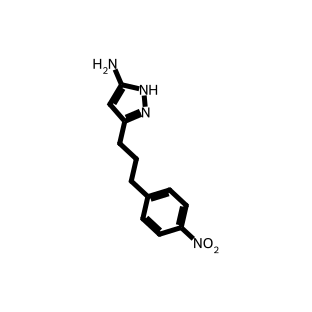 Nc1cc(CCCc2ccc([N+](=O)[O-])cc2)n[nH]1